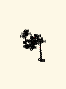 C[C@@H](O)[C@H](NC(=O)[C@H](CCCCNC(=O)CC[C@H](NC(=O)CC[C@H](NC(=O)[C@H](CO)NC(=O)[C@H](CCC(=O)O)NC(=O)[C@H](CO)NC(=O)CC[C@H](NC(=O)CC[C@H](NC(=O)CCCCCCCCCCCCCCCCC(=O)O)C(=O)O)C(=O)O)C(=O)O)C(=O)O)NI)C(N)=O